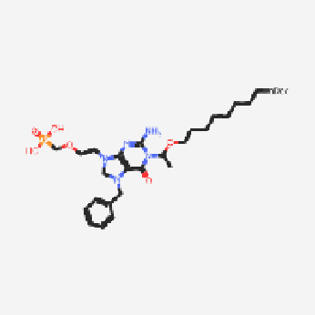 CCCCCCCCCCCCCCCCCCOC(C)n1c(N)nc2c(c1=O)N(Cc1ccccc1)CN2CCOCP(=O)(O)O